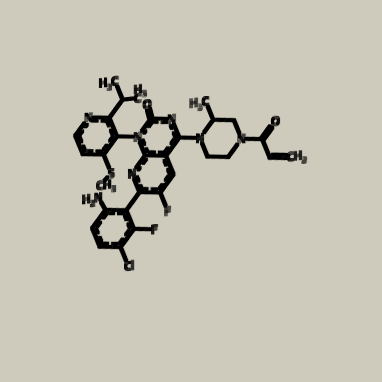 C=CC(=O)N1CCN(c2nc(=O)n(-c3c(SC)ccnc3C(C)C)c3nc(-c4c(N)ccc(Cl)c4F)c(F)cc23)C(C)C1